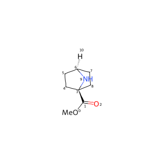 COC(=O)[C@]12CC[C@@H](CC1)N2